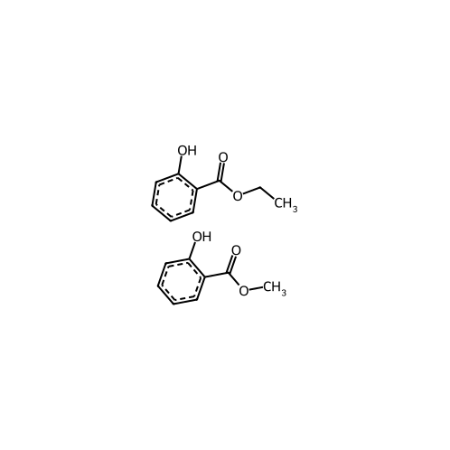 CCOC(=O)c1ccccc1O.COC(=O)c1ccccc1O